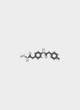 CCCNC(=O)Cc1ccc(NC(=O)Cc2ccc(C)cc2)cc1